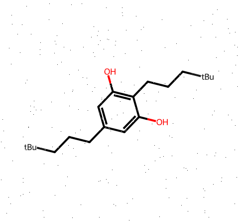 CC(C)(C)CCCc1cc(O)c(CCCC(C)(C)C)c(O)c1